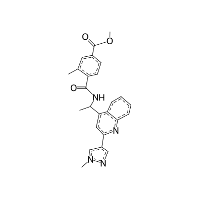 COC(=O)c1ccc(C(=O)NC(C)c2cc(-c3cnn(C)c3)nc3ccccc23)c(C)c1